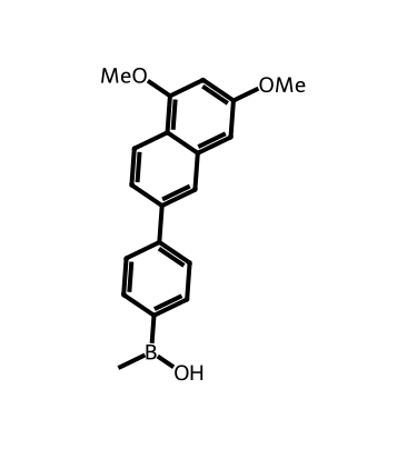 COc1cc(OC)c2ccc(-c3ccc(B(C)O)cc3)cc2c1